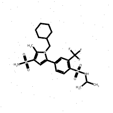 Cc1c(S(N)(=O)=O)cc(-c2ccc(S(=O)(=O)NC(C)C)c(C(F)(F)F)c2)n1CC1CCCCC1